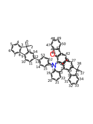 CC1(C)c2ccccc2-c2ccc(-c3ccc(N(c4ccccc4-c4cccc5c4-c4ccccc4C5(C)C)c4cccc5c4oc4ccccc45)cc3)cc21